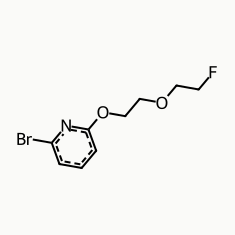 FCCOCCOc1cccc(Br)n1